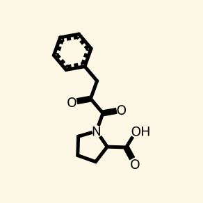 O=C(Cc1ccccc1)C(=O)N1CCCC1C(=O)O